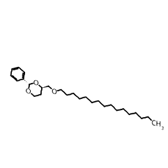 CCCCCCCCCCCCCCCCOC[C@H]1CCO[C@H](c2ccccc2)O1